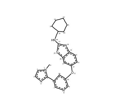 Cn1ccnc1-c1cncc(Oc2ccc3nc(NC4CCCCC4)sc3c2)c1